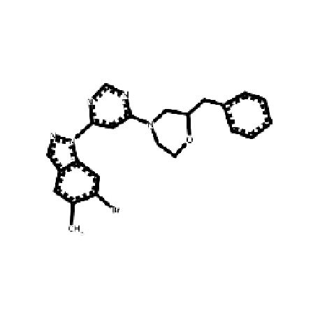 Cc1cc2cnn(-c3cc(N4CCOC(Cc5ccccc5)C4)ncn3)c2cc1Br